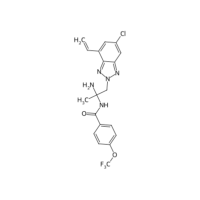 C=Cc1cc(Cl)cc2nn(CC(C)(N)NC(=O)c3ccc(OC(F)(F)F)cc3)nc12